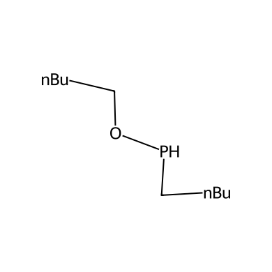 CCCCCOPCCCCC